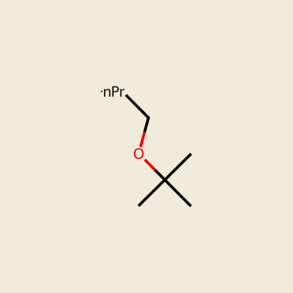 CC[CH]COC(C)(C)C